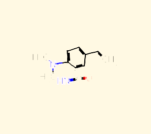 C=Cc1ccc(N(C)C)cc1.N=C=O